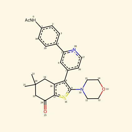 CC(=O)Nc1ccc(-c2cc(-c3c(N4CCOCC4)sc4c3CC(C)(C)CC4=O)ccn2)cc1